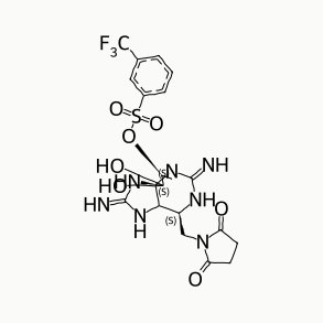 N=C1NC2[C@H](CN3C(=O)CCC3=O)NC(=N)N3C[C@H](OS(=O)(=O)c4cccc(C(F)(F)F)c4)C(O)(O)[C@]23N1